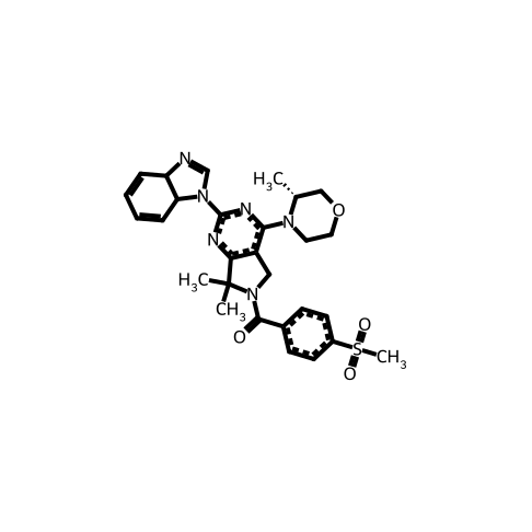 C[C@@H]1COCCN1c1nc(N2C=NC3C=CC=CC32)nc2c1CN(C(=O)c1ccc(S(C)(=O)=O)cc1)C2(C)C